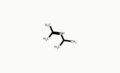 CC(C)=[SiH]C(C)C